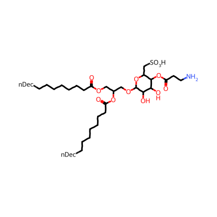 CCCCCCCCCCCCCCCCCC(=O)OCC(COC1OC(CS(=O)(=O)O)C(OC(=O)CCN)C(O)C1O)OC(=O)CCCCCCCCCCCCCCCCC